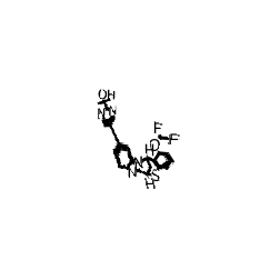 CC(C)(O)c1ncc(-c2ccc3nc4n(c3c2)[C@@H]2C[C@H]4Sc3cccc(OC(F)F)c32)cn1